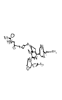 CCC(=O)NCC(=O)N1CC(N2CCc3c(-c4cnc(N)nc4)nc(N4CCOC[C@@H]4C)nc32)C1